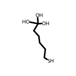 OC(O)(O)CCCCCS